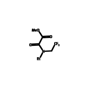 CCN(CC(F)(F)F)C(=O)C(=O)OC